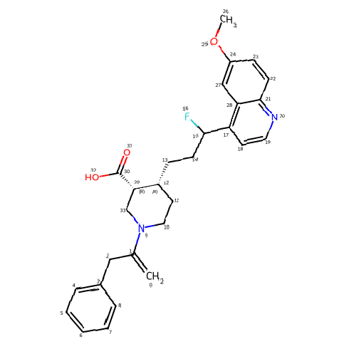 C=C(Cc1ccccc1)N1CC[C@@H](CCC(F)c2ccnc3ccc(OC)cc23)[C@@H](C(=O)O)C1